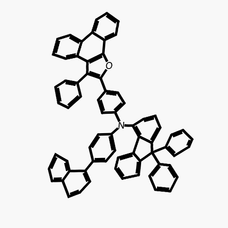 c1ccc(-c2c(-c3ccc(N(c4ccc(-c5cccc6ccccc56)cc4)c4cccc5c4-c4ccccc4C5(c4ccccc4)c4ccccc4)cc3)oc3c4ccccc4c4ccccc4c23)cc1